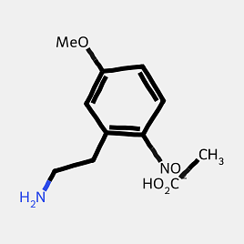 CC(=O)O.COc1ccc([N+](=O)[O-])c(CCN)c1